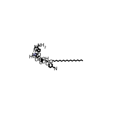 CCCCCCCCCCCCCCCCCCOC[C@H](COP(=O)(O)OC[C@H]1O[C@@](/C=N\C)(c2ccc3c(N)ncnn23)[C@H](O)[C@@H]1O)Oc1ccc(C#N)cn1